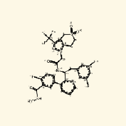 CNC(=O)c1cc(-c2cccnc2[C@H](Cc2cc(F)cc(F)c2)NC(=O)Cn2nc(C(F)(F)F)c3c2CCS(=O)(=O)C3)ccc1F